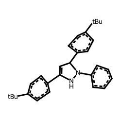 CC(C)(C)c1ccc(C2=CC(c3ccc(C(C)(C)C)cc3)N(c3ccccc3)N2)cc1